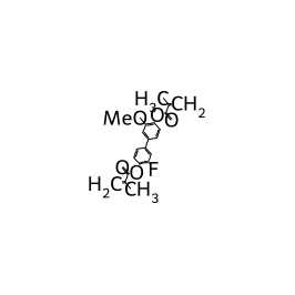 C=C(C)C(=O)Oc1ccc(-c2ccc(OC(=O)C(=C)C)c(OC)c2)cc1F